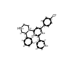 Clc1ccc(-c2cc(N3CCNCC3c3ccccc3)nc(-c3cccnc3)n2)cc1